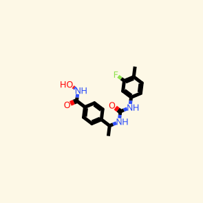 Cc1ccc(NC(=O)NC(C)c2ccc(C(=O)NO)cc2)cc1F